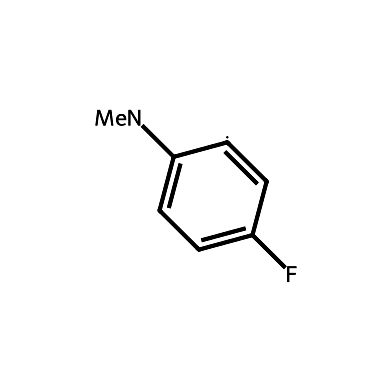 CNc1[c]cc(F)cc1